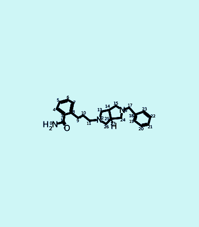 NC(=O)c1ccccc1[CH]CCN1CC2CN(Cc3ccccc3)C[C@@H]2C1